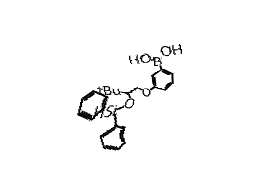 CC(C)(C)C(COc1cccc(B(O)O)c1)O[SiH](c1ccccc1)c1ccccc1